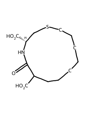 O=C(O)C1CCCCCCCSC[C@@H](C(=O)O)NC1=O